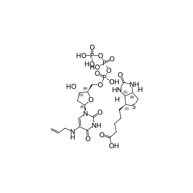 C=CCNc1cn([C@H]2C[C@H](O)[C@@H](COP(=O)(O)OP(=O)(O)OP(=O)(O)O)O2)c(=O)[nH]c1=O.O=C(O)CCCC[C@@H]1SC[C@@H]2NC(=O)N[C@@H]21